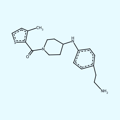 Cc1ccsc1C(=O)N1CCC(Nc2ccc(CCN)cc2)CC1